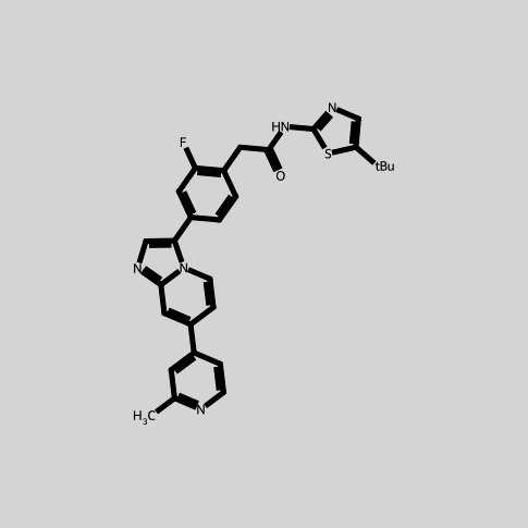 Cc1cc(-c2ccn3c(-c4ccc(CC(=O)Nc5ncc(C(C)(C)C)s5)c(F)c4)cnc3c2)ccn1